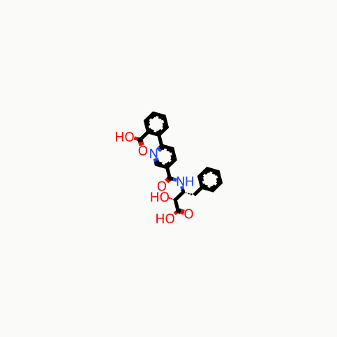 O=C(N[C@H](Cc1ccccc1)[C@@H](O)C(=O)O)c1ccc(-c2ccccc2C(=O)O)nc1